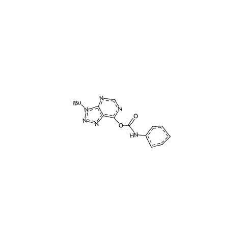 CCC(C)n1nnc2c(OC(=O)Nc3ccccc3)ncnc21